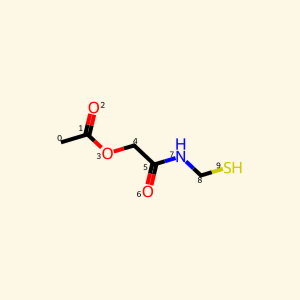 CC(=O)OCC(=O)NCS